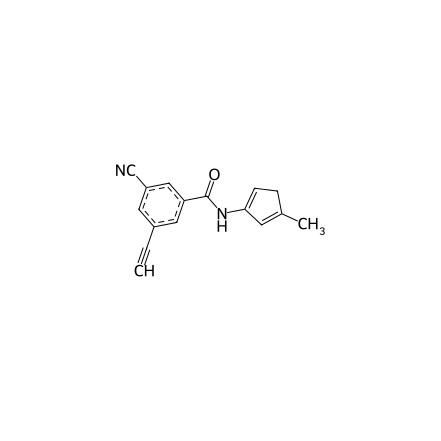 C#Cc1cc(C#N)cc(C(=O)NC2=CCC(C)=C2)c1